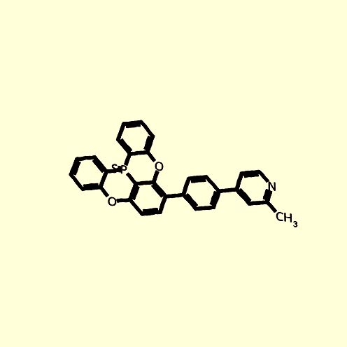 Cc1cc(-c2ccc(-c3ccc4c5c3Oc3ccccc3P5(=S)c3ccccc3O4)cc2)ccn1